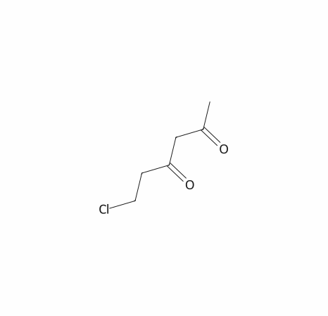 CC(=O)CC(=O)CCCl